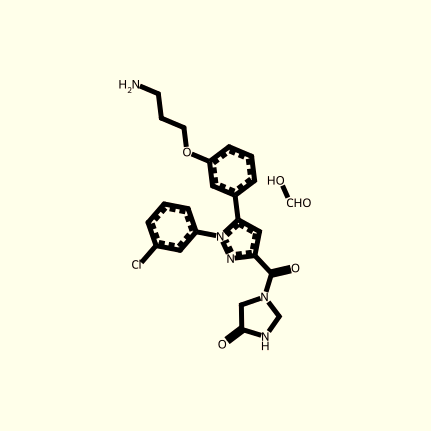 NCCCOc1cccc(-c2cc(C(=O)N3CNC(=O)C3)nn2-c2cccc(Cl)c2)c1.O=CO